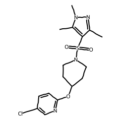 Cc1nn(C)c(C)c1S(=O)(=O)N1CCC(Oc2ccc(Cl)cn2)CC1